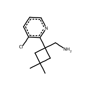 CC1(C)CC(CN)(c2ncccc2Cl)C1